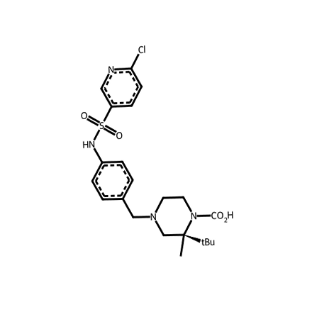 CC(C)(C)[C@@]1(C)CN(Cc2ccc(NS(=O)(=O)c3ccc(Cl)nc3)cc2)CCN1C(=O)O